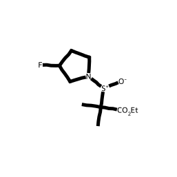 CCOC(=O)C(C)(C)[S+]([O-])N1CCC(F)C1